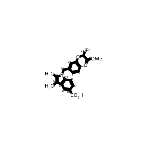 COC(=O)C(Oc1cccc(Cn2c(C)c(C)c3cc(C(=O)O)ccc32)c1)C(C)C